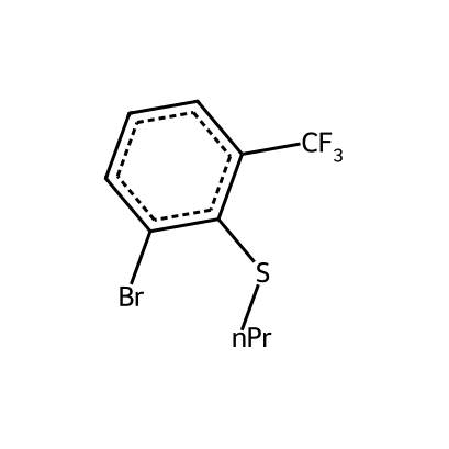 CCCSc1c(Br)cccc1C(F)(F)F